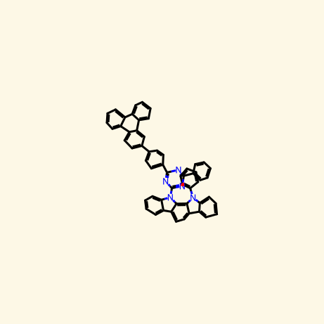 c1ccc(-c2nc(-c3ccc(-c4ccc5c6ccccc6c6ccccc6c5c4)cc3)nc(-n3c4ccccc4c4ccc5c6ccccc6n(-c6ccccc6)c5c43)n2)cc1